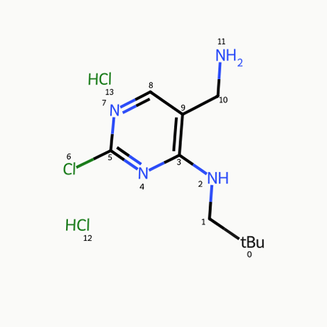 CC(C)(C)CNc1nc(Cl)ncc1CN.Cl.Cl